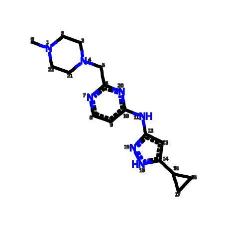 CN1CCN(Cc2nccc(Nc3cc(C4CC4)[nH]n3)n2)CC1